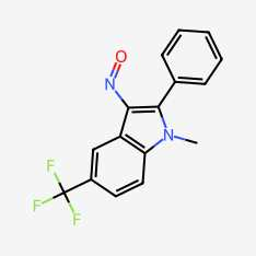 Cn1c(-c2ccccc2)c(N=O)c2cc(C(F)(F)F)ccc21